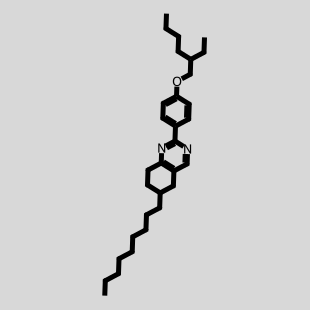 CCCCCCCCCC1CCc2nc(-c3ccc(OCC(CC)CCCC)cc3)ncc2C1